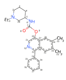 CCN1CCCC(NC(=O)Oc2cnc(-c3ccccc3)c3cc(C)c(C)cc23)C1